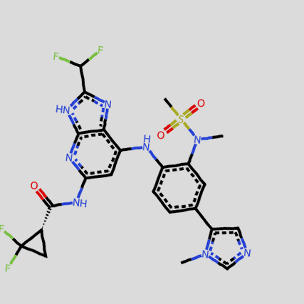 CN(c1cc(-c2cncn2C)ccc1Nc1cc(NC(=O)[C@@H]2CC2(F)F)nc2[nH]c(C(F)F)nc12)S(C)(=O)=O